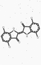 O=C1/C(=C2\Nc3c(Cl)ccc(Cl)c3C2=O)Nc2c(Cl)ccc(Cl)c21